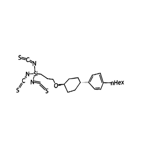 CCCCCCc1ccc([C@H]2CC[C@H](OCCC[Si](N=C=S)(N=C=S)N=C=S)CC2)cc1